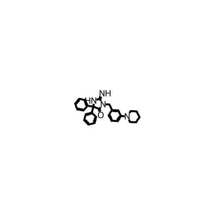 N=C1NC(c2ccccc2)(c2ccccc2)C(=O)N1Cc1cccc(N2CCCCC2)c1